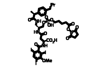 COc1c(I)cc(I)c(C(=O)N[C@@H](CC(=O)N[C@H](CNC(=O)[C@@H](C)c2ccc(CC(C)C)cc2)COP(=O)(O)OCCCCC(=O)ON2C(=O)CCC2=O)C(=O)O)c1I